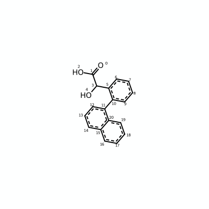 O=C(O)C(O)c1ccccc1-c1cccc2ccccc12